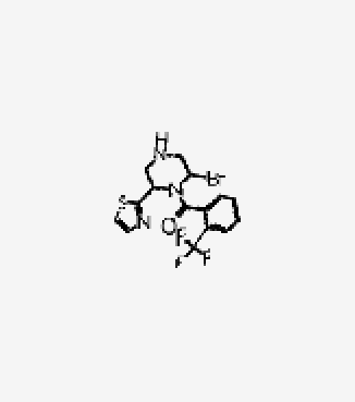 O=C(c1ccccc1C(F)(F)F)N1C(Br)CNCC1c1nccs1